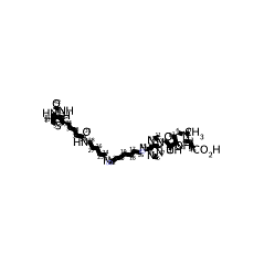 CN(CCCC(=O)O)C[C@H]1O[C@@H](n2cnc3c(/N=C/CCCCC/C=N\CCCCCNC(=O)CCCC[C@H]4SC[C@H]5NC(=O)N[C@H]54)ncnc32)[C@H](O)[C@@H]1O